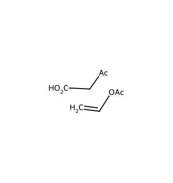 C=COC(C)=O.CC(=O)CC(=O)O